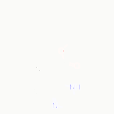 N#C/C(C(=O)OCC1CCCCC1)=C1/NC=CN=C1Cl